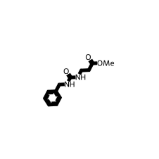 COC(=O)CCNC(=O)NCc1ccccc1